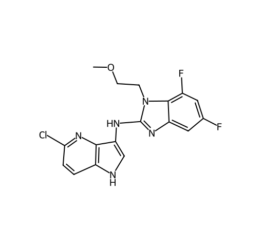 COCCn1c(Nc2c[nH]c3ccc(Cl)nc23)nc2cc(F)cc(F)c21